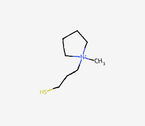 C[N+]1(CCCS)CCCC1